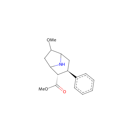 COC(=O)[C@@H]1C2CC(OC)C(C[C@H]1c1ccccc1)N2